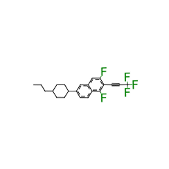 CCCC1CCC(c2ccc3c(F)c(C#CC(F)(F)F)c(F)cc3c2)CC1